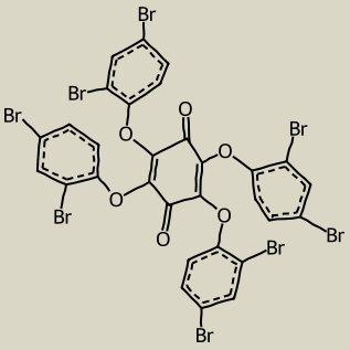 O=C1C(Oc2ccc(Br)cc2Br)=C(Oc2ccc(Br)cc2Br)C(=O)C(Oc2ccc(Br)cc2Br)=C1Oc1ccc(Br)cc1Br